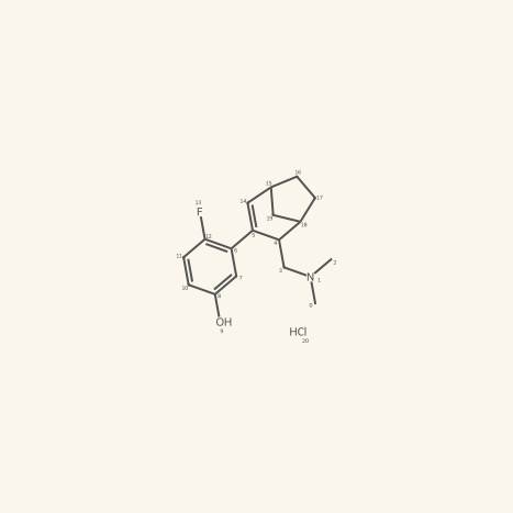 CN(C)CC1C(c2cc(O)ccc2F)=CC2CCC1C2.Cl